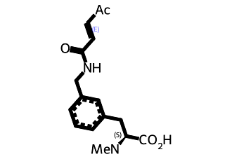 CN[C@@H](Cc1cccc(CNC(=O)/C=C/C(C)=O)c1)C(=O)O